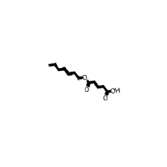 CCCCCCCOC(=O)CCCC(=O)O